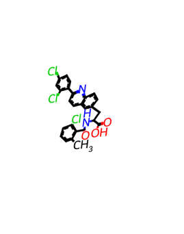 Cc1cccc(Cl)c1C(=O)NC(Cc1ccc2nc(-c3ccc(Cl)cc3Cl)ccc2c1)C(=O)O